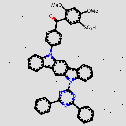 COc1cc(OC)c(S(=O)(=O)O)cc1C(=O)c1ccc(-n2c3ccccc3c3cc4c(cc32)c2ccccc2n4-c2nc(-c3ccccc3)nc(-c3ccccc3)n2)cc1